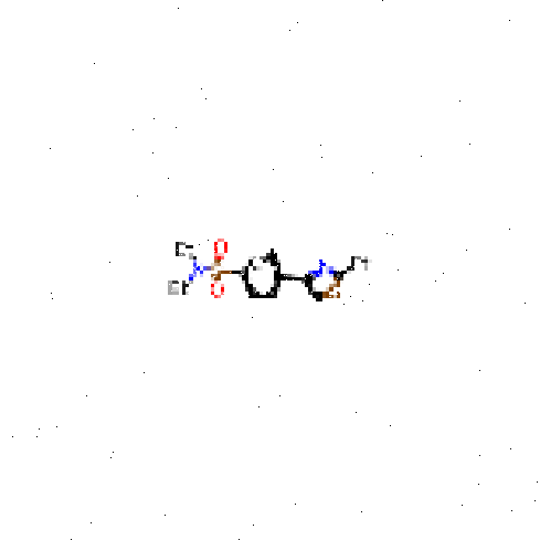 CCc1nc(-c2ccc(S(=O)(=O)N(CC)CC)cc2)cs1